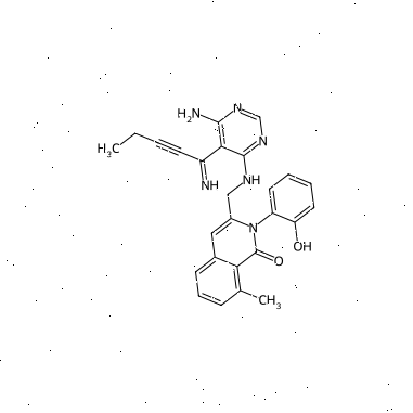 CCC#CC(=N)c1c(N)ncnc1NCc1cc2cccc(C)c2c(=O)n1-c1ccccc1O